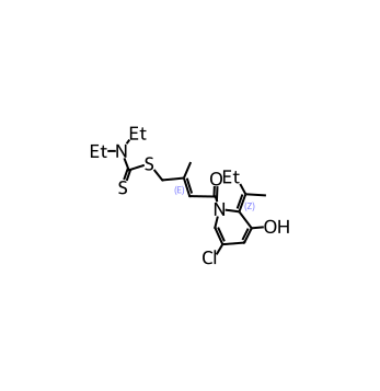 CC/C(C)=C1/C(O)=CC(Cl)=CN1C(=O)/C=C(\C)CSC(=S)N(CC)CC